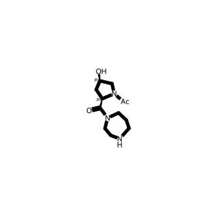 CC(=O)N1C[C@H](O)C[C@@H]1C(=O)N1CCCNCC1